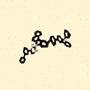 C1=C(c2cccc(-c3ccccc3)c2)NC(n2c3ccc(-c4ccc(-c5ccc6c(c5)c5ccccc5n6-c5ccccc5)cc4)cc3c3c4ccccc4ccc32)NC1